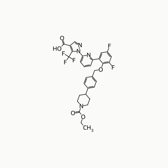 CCOC(=O)N1CCC(c2ccc(COc3c(F)cc(F)cc3-c3cccc(-n4ncc(C(=O)O)c4C(F)(F)F)n3)cc2)CC1